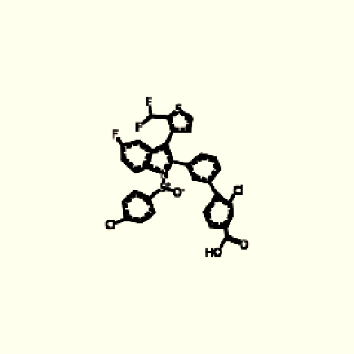 O=C(O)c1ccc(-c2cccc(-c3c(-c4ccsc4C(F)F)c4cc(F)ccc4n3[S+]([O-])c3ccc(Cl)cc3)c2)c(Cl)c1